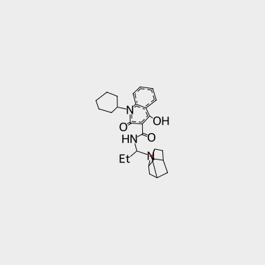 CCC(NC(=O)c1c(O)c2ccccc2n(C2CCCCC2)c1=O)N1C2CC3CC(C2)CC1C3